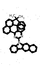 CC1(C)c2ccccc2-c2c1ccc1cccc(-c3nc(-n4c5ccccc5c5cc6ccccc6cc54)nc4ccccc34)c21